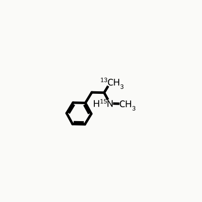 C[15NH]C([13CH3])Cc1ccccc1